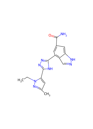 CCn1nc(C)cc1-c1nnc(-c2cc(C(N)=O)cc3[nH]ncc23)[nH]1